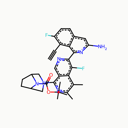 C#Cc1c(F)ccc2cc(N)nc(-c3ncc4c(N5CC6CCC(C5)N6C(=O)OC(C)(C)C)nc(C)c(C)c4c3F)c12